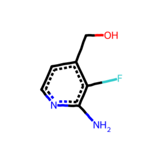 Nc1nccc(CO)c1F